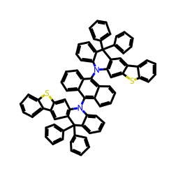 c1ccc(C2(c3ccccc3)c3ccccc3N(c3c4ccccc4c(N4c5ccccc5C(c5ccccc5)(c5ccccc5)c5cc6c(cc54)sc4ccccc46)c4ccccc34)c3cc4sc5ccccc5c4cc32)cc1